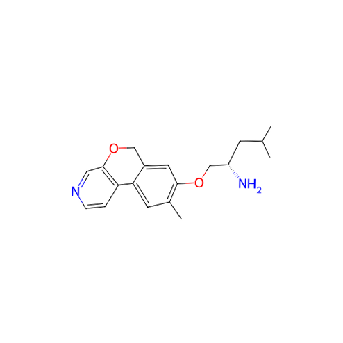 Cc1cc2c(cc1OC[C@@H](N)CC(C)C)COc1cnccc1-2